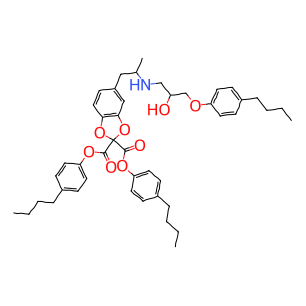 CCCCc1ccc(OCC(O)CNC(C)Cc2ccc3c(c2)OC(C(=O)Oc2ccc(CCCC)cc2)(C(=O)Oc2ccc(CCCC)cc2)O3)cc1